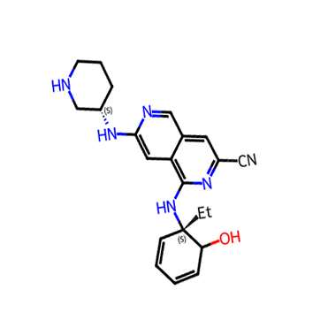 CC[C@]1(Nc2nc(C#N)cc3cnc(N[C@H]4CCCNC4)cc23)C=CC=CC1O